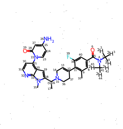 [2H]C([2H])([2H])N(C(=O)c1cc(C)c(C2=CCN([C@@H](C)c3cc4c(-n5ccc(N)cc5=O)ccnc4n3C)CC2)c(F)c1)C([2H])([2H])[2H]